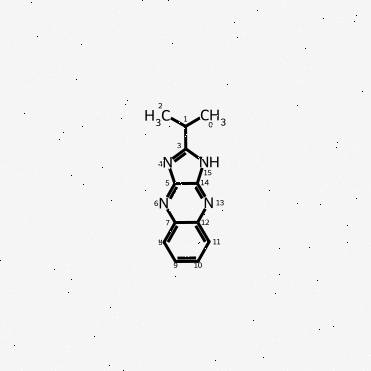 CC(C)c1nc2nc3ccccc3nc2[nH]1